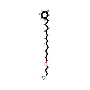 CCCCOCCCCCCCCCCCCCc1ccccc1